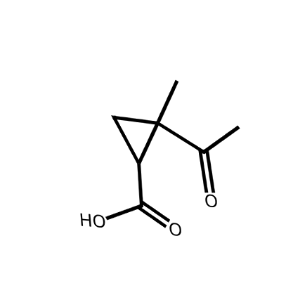 CC(=O)C1(C)CC1C(=O)O